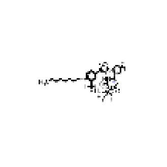 CCCCCCCCOc1ccc(-c2noc([C@@H]3CC(F)(F)CN3/C(=N/C(=O)O)NC(=O)OC(C)(C)C)n2)cc1C(F)(F)F